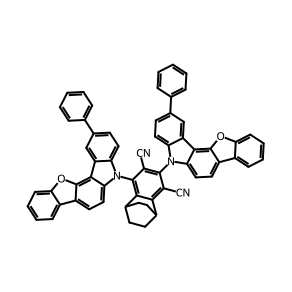 N#Cc1c2c(c(-n3c4ccc(-c5ccccc5)cc4c4c5oc6ccccc6c5ccc43)c(C#N)c1-n1c3ccc(-c4ccccc4)cc3c3c4oc5ccccc5c4ccc31)C1CCC2CC1